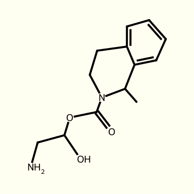 CC1c2ccccc2CCN1C(=O)OC(O)CN